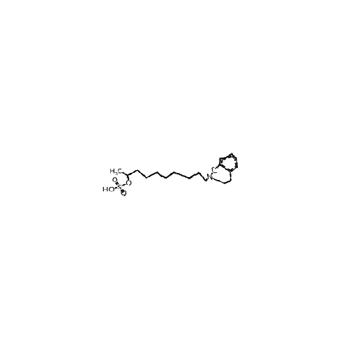 CC(CCCCCCCCN1CCc2ccccc2C1)OS(=O)(=O)O